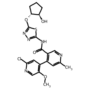 COc1cnc(Cl)cc1-c1cc(C)ncc1C(=O)Nc1nnc(O[C@@H]2CCC[C@H]2O)s1